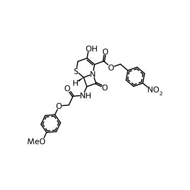 COc1ccc(OCC(=O)NC2C(=O)N3C(C(=O)OCc4ccc([N+](=O)[O-])cc4)=C(O)CS[C@@H]23)cc1